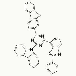 c1ccc(-c2nc3cccc(-c4nc(-c5ccc6c(c5)oc5ccccc56)nc(-n5c6ccccc6c6ccccc65)n4)c3s2)cc1